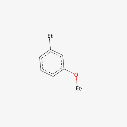 C[CH]Oc1cccc(CC)c1